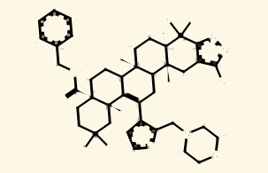 CC1(C)CC[C@]2(C(=O)OCc3ccccc3)CC[C@]3(C)C(=C(c4ccoc4CN4CCNCC4)CC4[C@@]5(C)Cc6c(n[nH]c6N)C(C)(C)[C@@H]5CC[C@]43C)[C@@H]2C1